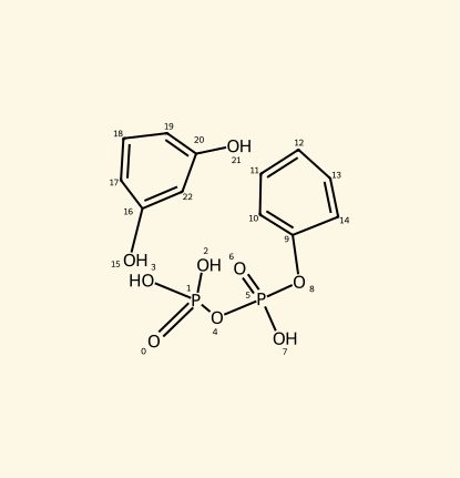 O=P(O)(O)OP(=O)(O)Oc1ccccc1.Oc1cccc(O)c1